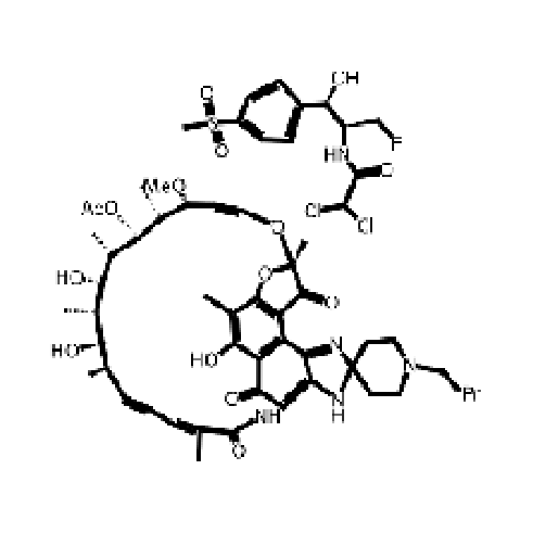 CO[C@@H]1/C=C\O[C@@]2(C)Oc3c(C)c(O)c4c(c3C2=O)C2=NC3(CCN(CC(C)C)CC3)NC2=C(NC(=O)/C(C)=C\C=C/[C@@H](C)[C@@H](O)[C@H](C)[C@H](O)[C@H](C)[C@H](OC(C)=O)[C@@H]1C)C4=O.CS(=O)(=O)c1ccc([C@@H](O)[C@@H](CF)NC(=O)C(Cl)Cl)cc1